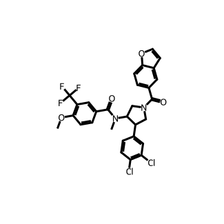 COc1ccc(C(=O)N(C)C2CN(C(=O)c3ccc4occc4c3)CC2c2ccc(Cl)c(Cl)c2)cc1C(F)(F)F